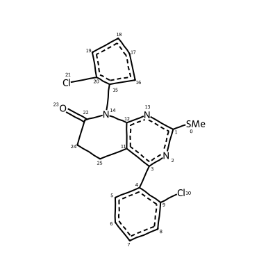 CSc1nc(-c2ccccc2Cl)c2c(n1)N(c1ccccc1Cl)C(=O)CC2